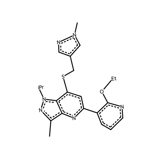 CCOc1ncccc1-c1cc(SCc2cnn(C)c2)c2c(n1)c(C)nn2C(C)C